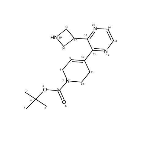 CC(C)(C)OC(=O)N1CC=C(c2nccnc2C2CNC2)CC1